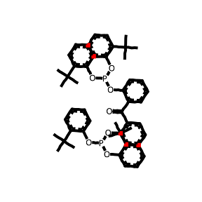 CC(C)(C)c1ccccc1OP(Oc1ccccc1C(=O)c1ccccc1OP(Oc1ccccc1C(C)(C)C)Oc1ccccc1C(C)(C)C)Oc1ccccc1C(C)(C)C